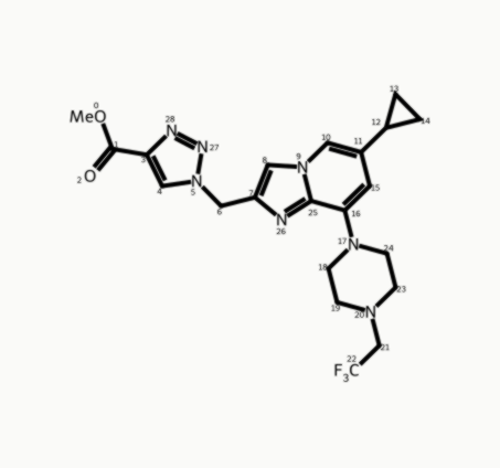 COC(=O)c1cn(Cc2cn3cc(C4CC4)cc(N4CCN(CC(F)(F)F)CC4)c3n2)nn1